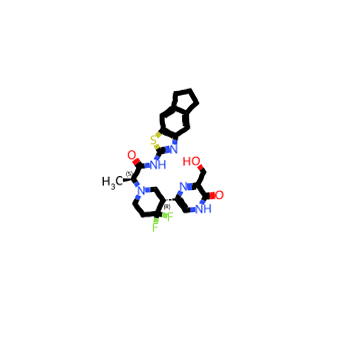 C[C@@H](C(=O)Nc1nc2cc3c(cc2s1)CCC3)N1CCC(F)(F)[C@@H](c2c[nH]c(=O)c(CO)n2)C1